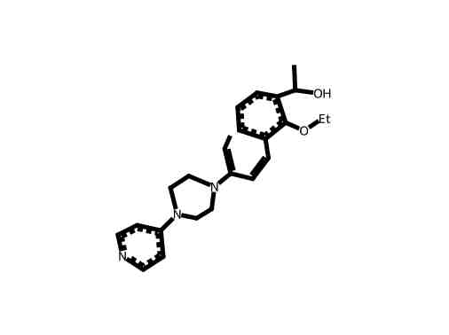 C/C=C(\C=C/c1cccc(C(C)O)c1OCC)N1CCN(c2ccncc2)CC1